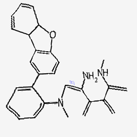 C=C(NC)C(=C)C(=C)/C(N)=C\N(C)c1ccccc1-c1ccc2c(c1)C1C=CC=CC1O2